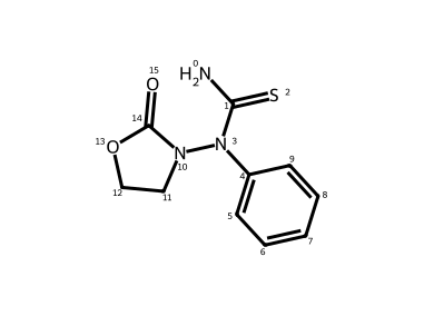 NC(=S)N(c1ccccc1)N1CCOC1=O